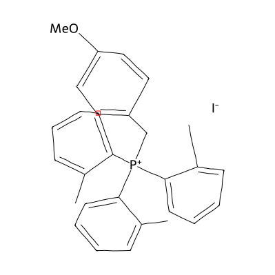 COc1ccc(C[P+](c2ccccc2C)(c2ccccc2C)c2ccccc2C)cc1.[I-]